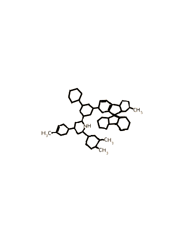 CC1=CCC(C2CC(C3CCC(C)C(C)C3)NC(C3CC(C4C=CC5=C(C4)C4(C6CC(C)CCC56)C5CCCCC5C5CCCCC54)CC(C4CCCCC4)C3)C2)CC1